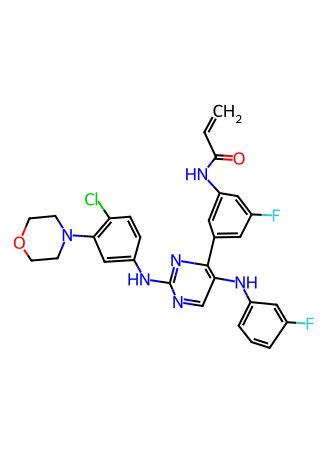 C=CC(=O)Nc1cc(F)cc(-c2nc(Nc3ccc(Cl)c(N4CCOCC4)c3)ncc2Nc2cccc(F)c2)c1